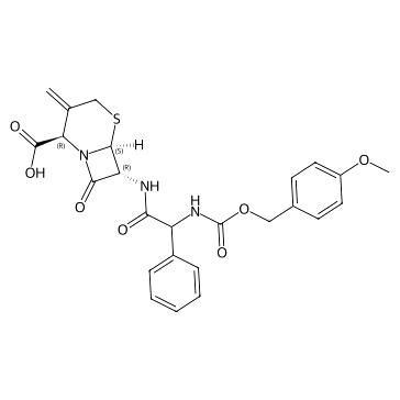 C=C1CS[C@H]2[C@H](NC(=O)C(NC(=O)OCc3ccc(OC)cc3)c3ccccc3)C(=O)N2[C@H]1C(=O)O